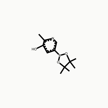 Cc1ncc(B2OC(C)(C)C(C)(C)O2)cc1O